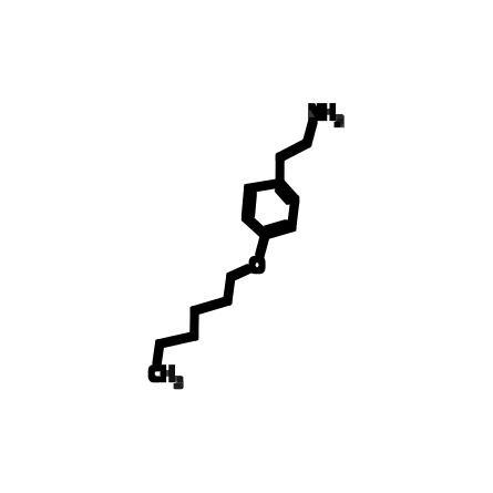 CCCCCCOc1ccc(CCN)cc1